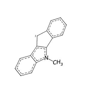 Cn1c2c(c3ccccc31)[C]c1ccccc1-2